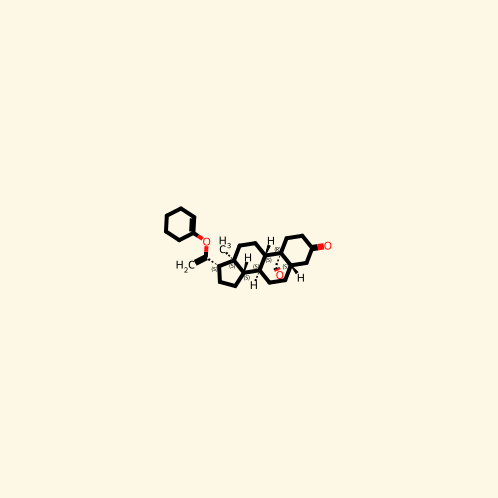 C=C(OC1=CCCCC1)[C@H]1CC[C@H]2[C@@H]3CC[C@H]4CC(=O)CC[C@]4(C=O)[C@H]3CC[C@]12C